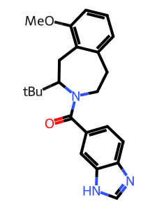 COc1cccc2c1CC(C(C)(C)C)N(C(=O)c1ccc3nc[nH]c3c1)CC2